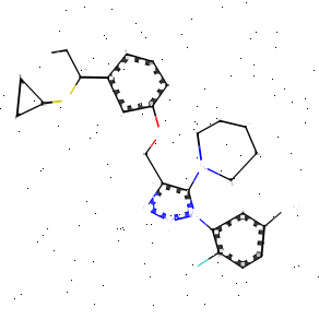 COc1ccc(F)c(-n2nnc(COc3cccc(C(CC(=O)O)SC4CC4)c3)c2N2CCCCC2)c1